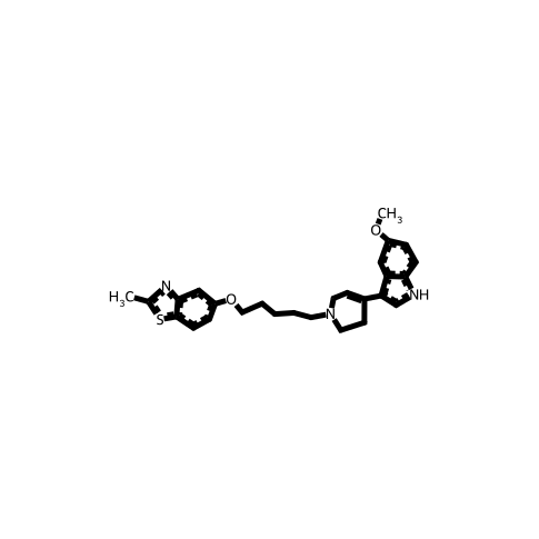 COc1ccc2[nH]cc(C3=CCN(CCCCCOc4ccc5sc(C)nc5c4)CC3)c2c1